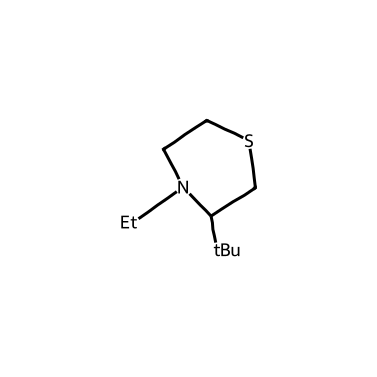 CCN1CCSCC1C(C)(C)C